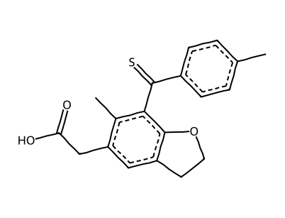 Cc1ccc(C(=S)c2c(C)c(CC(=O)O)cc3c2OCC3)cc1